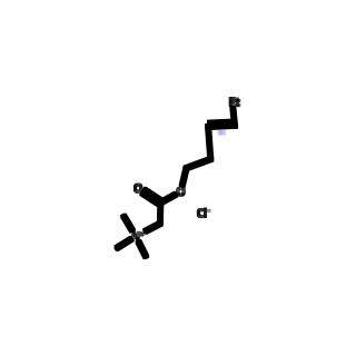 CC/C=C/CCOC(=O)C[N+](C)(C)C.[Cl-]